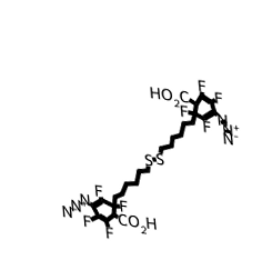 [N-]=[N+]=NC1=C(F)C(F)(CCCCCCSSCCCCCCC2(F)C(F)=C(N=[N+]=[N-])C(F)=C(F)C2C(=O)O)C(C(=O)O)C(F)=C1F